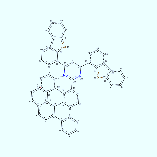 c1ccc(-c2ccc3ccccc3c2-c2cccc(-c3nc(-c4cccc5c4sc4ccccc45)cc(-c4cccc5c4sc4ccccc45)n3)c2-c2ccccc2)cc1